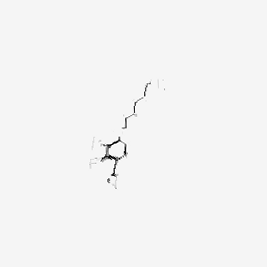 CCCCCCCOc1ccc(C#N)c(F)c1F